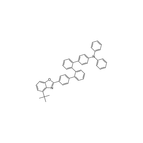 CC(C)(C)c1cccc2oc(-c3ccc(-c4ccccc4-c4ccccc4-c4ccc(N(c5ccccc5)c5ccccc5)cc4)cc3)nc12